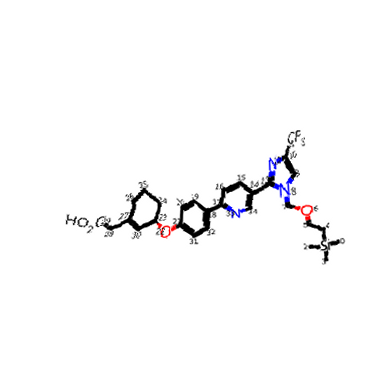 C[Si](C)(C)CCOCn1cc(C(F)(F)F)nc1-c1ccc(-c2ccc(O[C@@H]3CCCC(CC(=O)O)C3)cc2)nc1